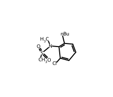 CCCCc1cccc(Cl)c1N(C)S(C)(=O)=O